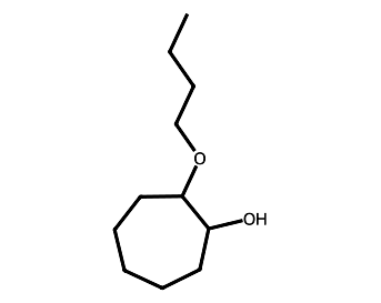 CCCCOC1CCCCCC1O